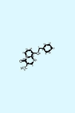 Cc1cnc2c(OCc3ccccc3)cccn2c1=O